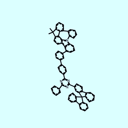 CC1(C)c2cccc3c2-c2c1ccc1c4c(-c5cccc(-c6ccc(-c7nc(-c8ccccc8)nc(-c8ccc9c(c8)C8(c%10ccccc%10-c%10ccccc%108)c8ccccc8-9)n7)cc6)c5)cccc4n(c21)-c1ccccc1-3